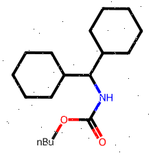 CCCCOC(=O)NC(C1CCCCC1)C1CCCCC1